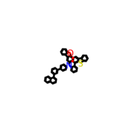 c1cc(-c2ccc(N(c3ccc4oc5ccccc5c4c3)c3ccccc3-c3cccc4c3sc3ccccc34)cc2)cc(-c2cccc3ccccc23)c1